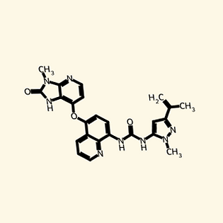 C=C(C)c1cc(NC(=O)Nc2ccc(Oc3ccnc4c3[nH]c(=O)n4C)c3cccnc23)n(C)n1